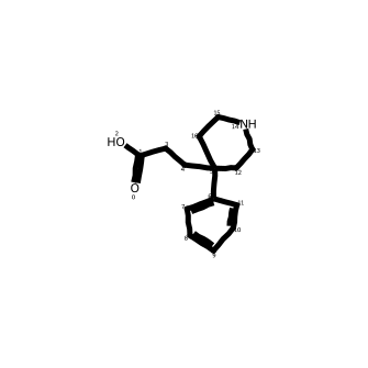 O=C(O)CCC1(c2ccccc2)CCNCC1